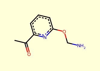 CC(=O)c1cccc(OCN)n1